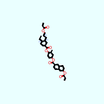 C=CC(=O)O/C=C/C=c1/cc(C(=O)Oc2ccc(OC(=O)c3ccc4cc(OC(=O)C=C)ccc4c3)cc2C)cc/c1=C/C